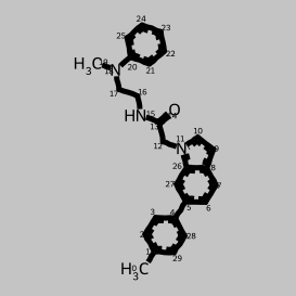 Cc1ccc(-c2ccc3ccn(CC(=O)NCCN(C)c4ccccc4)c3c2)cc1